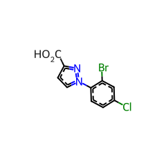 O=C(O)c1ccn(-c2ccc(Cl)cc2Br)n1